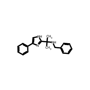 CC(C)(NCc1ccccc1)c1nc(-c2ccccc2)c[nH]1